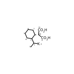 C[CH]([K])C1CCCCC1.O=C(O)CC(=O)O